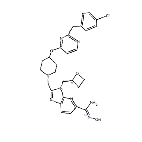 N/C(=N\O)c1ccc2nc(CN3CCC(Oc4ccnc(Cc5ccc(Cl)cc5)n4)CC3)n(C[C@@H]3CCO3)c2n1